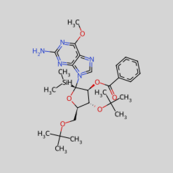 COc1nc(N)nc2c1ncn2[C@@]1([SiH](C)C)O[C@H](COC(C)(C)C)[C@@H](OC(C)(C)C)[C@@H]1OC(=O)c1ccccc1